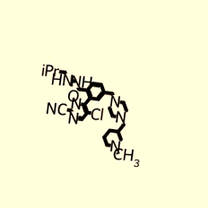 CC(C)CNNC(=O)c1ccc(CN2CCN(CC3CCCN(C)C3)CC2)cc1-c1nc(C#N)ncc1Cl